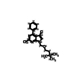 C[Si](C)(C)CCOCn1cc(Cl)c2c(-c3ccccc3)nc(Cl)nc21